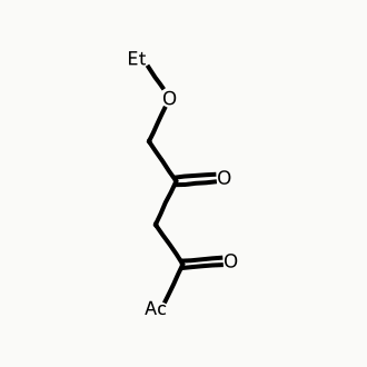 CCOCC(=O)CC(=O)C(C)=O